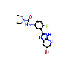 CCN(CC)C(=O)Nc1ccc(F)c(-c2nc3cc(Br)cnc3[nH]2)c1